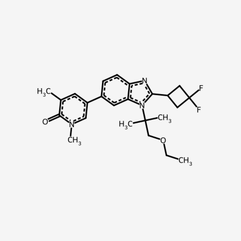 CCOCC(C)(C)n1c(C2CC(F)(F)C2)nc2ccc(-c3cc(C)c(=O)n(C)c3)cc21